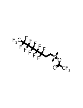 C[Si](C)(CCC(F)(F)C(F)(F)C(F)(F)C(F)(F)C(F)(F)C(F)(F)F)OC(=O)C(F)(F)F